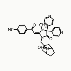 CN1C(=CC(=O)c2ccc(C#N)cc2)N(CC2CC3CCC(C2)N3C=O)C(=O)C1(c1ccncc1)c1ccncc1